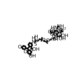 CC(=O)N[C@H]1[C@H]([C@H](OC(=O)NCCOC(C)COC(C)(C)CCNC(=S)Nc2ccc(-c3c4ccc(=O)cc-4oc4cc(O)ccc34)c(C(=O)O)c2)[C@H](O)CO)OC(P(=O)(O)O)=C[C@@H]1NC(=N)N